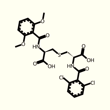 COc1cccc(OC)c1C(=O)N[C@@H](CSC[C@@H](NC(=O)c1c(Cl)cccc1Cl)C(=O)O)C(=O)O